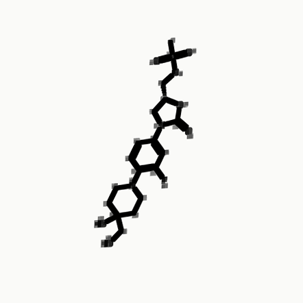 CS(=O)(=O)OC[C@H]1CN(c2ccc(N3CCC(O)(CO)CC3)c(F)c2)C(=O)O1